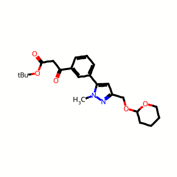 Cn1nc(COC2CCCCO2)cc1-c1cccc(C(=O)CC(=O)OC(C)(C)C)c1